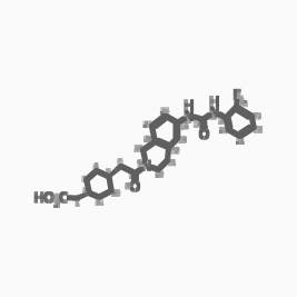 O=C(O)C[C@H]1CC[C@@H](CC(=O)N2CCc3cc(NC(=O)Nc4ccccc4F)ccc3C2)CC1